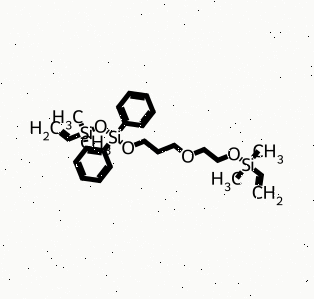 C=C[Si](C)(C)OCCOCCCO[Si](O[Si](C)(C)C=C)(c1ccccc1)c1ccccc1